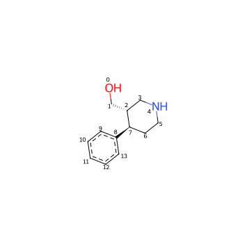 OC[C@@H]1CNCC[C@H]1c1ccccc1